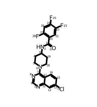 O=C(NC1CCN(c2ncnc3cc(Cl)ccc23)CC1)c1cc(F)c(F)cc1F